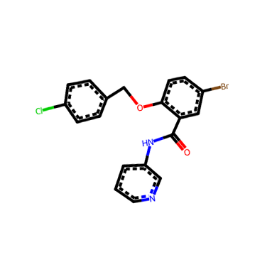 O=C(Nc1cccnc1)c1cc(Br)ccc1OCc1ccc(Cl)cc1